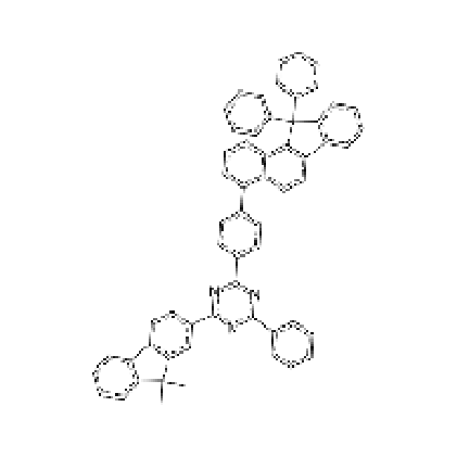 CC1(C)c2ccccc2-c2ccc(-c3nc(-c4ccccc4)nc(-c4ccc(-c5cccc6c7c(ccc56)-c5ccccc5C7(c5ccccc5)c5ccccc5)cc4)n3)cc21